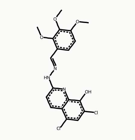 COc1ccc(C=NNc2ccc3c(Cl)cc(Cl)c(O)c3n2)c(OC)c1OC